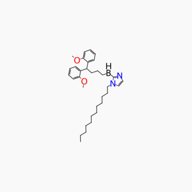 CCCCCCCCCCCCn1ccnc1BCCCC(c1ccccc1OC)c1ccccc1OC